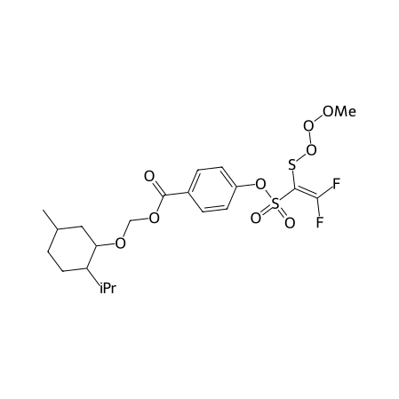 COOOSC(=C(F)F)S(=O)(=O)Oc1ccc(C(=O)OCOC2CC(C)CCC2C(C)C)cc1